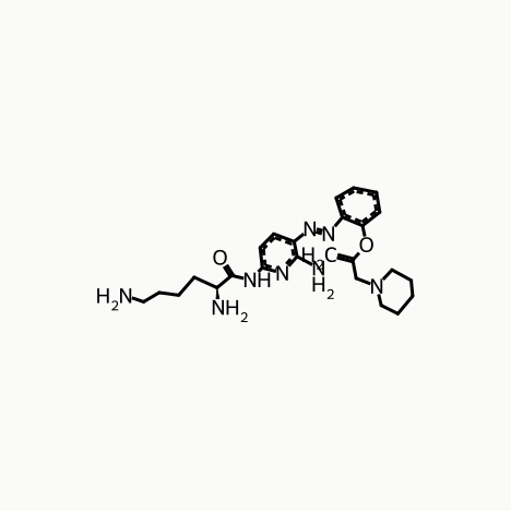 C=C(CN1CCCCC1)Oc1ccccc1/N=N/c1ccc(NC(=O)[C@@H](N)CCCCN)nc1N